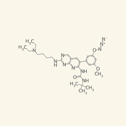 CCN(CC)CCCCNc1ncc2cc(-c3cc(OC)cc(ON=[N+]=[N-])c3)c(NC(=O)NC(C)(C)C)nc2n1